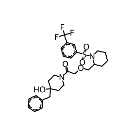 O=C(COCC1CCCCN1S(=O)(=O)c1cccc(C(F)(F)F)c1)N1CCC(O)(Cc2ccccc2)CC1